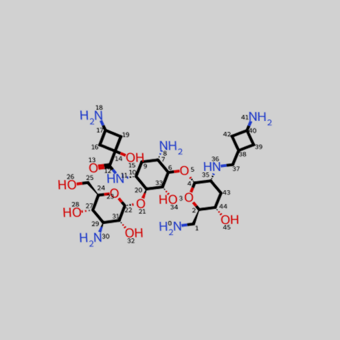 NC[C@H]1O[C@H](OC2[C@@H](N)C[C@@H](NC(=O)C3(O)CC(N)C3)[C@H](O[C@H]3O[C@H](CO)[C@@H](O)[C@H](N)[C@H]3O)[C@H]2O)[C@H](NCC2CC(N)C2)C[C@@H]1O